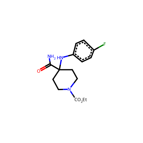 CCOC(=O)N1CCC(Nc2ccc(F)cc2)(C(N)=O)CC1